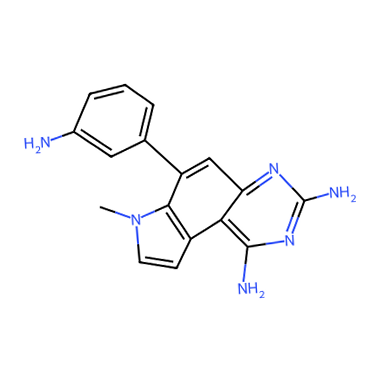 Cn1ccc2c3c(N)nc(N)nc3cc(-c3cccc(N)c3)c21